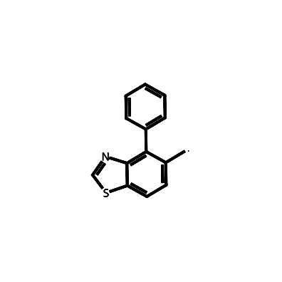 [CH2]c1ccc2scnc2c1-c1ccccc1